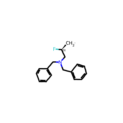 [CH2][C@H](F)CN(Cc1ccccc1)Cc1ccccc1